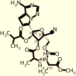 COC(=O)[C@H](C)N[PH](=O)OC[C@@]1(C#N)O[C@@H](c2ccc3c(N)ncnn23)[C@H](OC(=O)C(C)C)[C@@H]1OC(=O)C(C)C